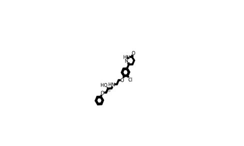 O=C1CCC(c2ccc(OCCNC[C@H](O)COc3ccccc3)c(Cl)c2)=NN1